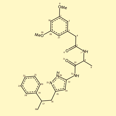 COc1cc(CC(=O)NC(C)C(=O)Nc2cc(CC(C)c3ccccc3)n[nH]2)cc(OC)c1